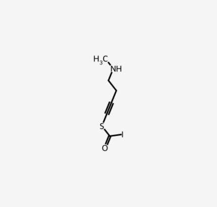 CNCCC#CSC(=O)I